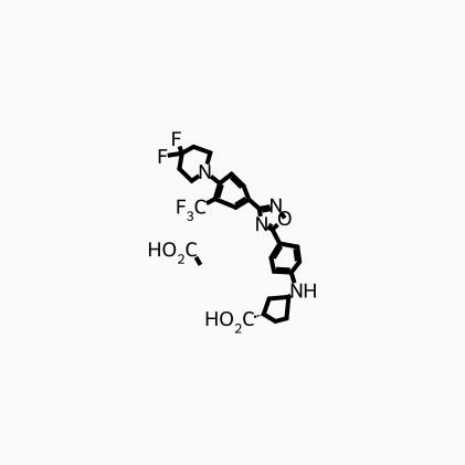 CC(=O)O.O=C(O)[C@H]1CCC(Nc2ccc(-c3nc(-c4ccc(N5CCC(F)(F)CC5)c(C(F)(F)F)c4)no3)cc2)C1